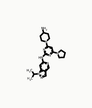 CC(C)n1ncc2cnc(Nc3nc(N4CCCC4)cc(N4CCC(N)CC4)n3)cc21